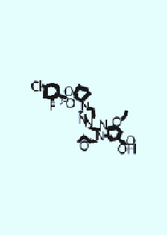 CCOc1cc(C(=O)O)cc2c1nc(CN1CCN(c3cccc4c3O[C@@](C)(c3ccc(Cl)cc3F)O4)C=N1)n2C[C@@H]1CCO1